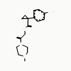 COc1ccc(C2(C(=O)NCC(=O)N3CCN(C)CC3)CC2)cc1